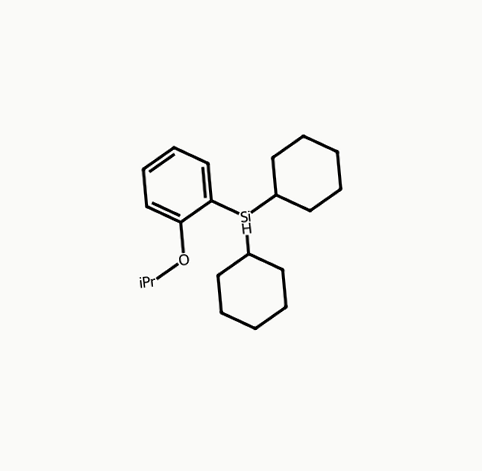 CC(C)Oc1ccccc1[SiH](C1CCCCC1)C1CCCCC1